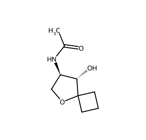 CC(=O)N[C@@H]1COC2(CCC2)[C@H]1O